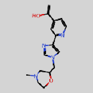 C=C(O)c1ccnc(-c2cn(CC3CN(C)CCO3)cn2)c1